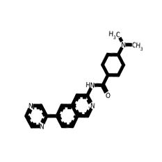 CN(C)C1CCC(C(=O)Nc2cc3cc(-c4cnccn4)ccc3cn2)CC1